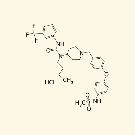 CCCCN(C(=O)Nc1cccc(C(F)(F)F)c1)C1CCN(Cc2ccc(Oc3ccc(NS(C)(=O)=O)cc3)cc2)CC1.Cl